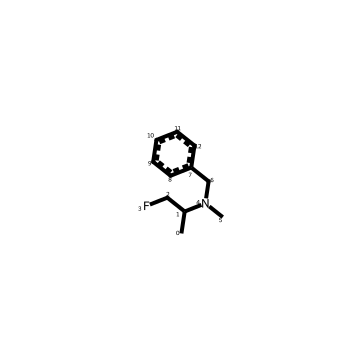 CC(CF)N(C)Cc1ccccc1